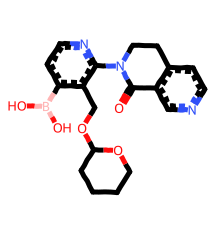 O=C1c2cnccc2CCN1c1nccc(B(O)O)c1COC1CCCCO1